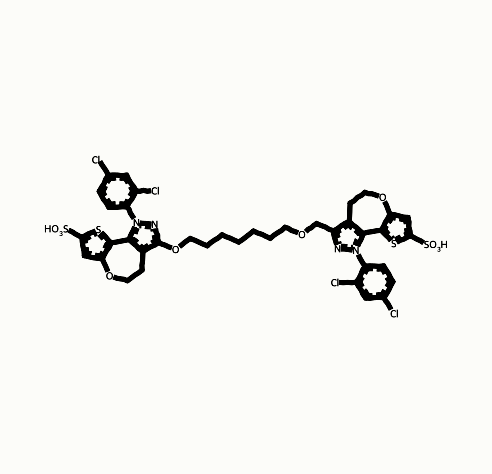 O=S(=O)(O)c1cc2c(s1)-c1c(c(COCCCCCCCOc3nn(-c4ccc(Cl)cc4Cl)c4c3CCOc3cc(S(=O)(=O)O)sc3-4)nn1-c1ccc(Cl)cc1Cl)CCO2